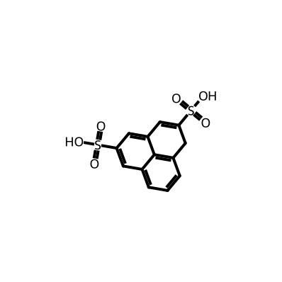 O=S(=O)(O)C1=Cc2cc(S(=O)(=O)O)cc3cccc(c23)C1